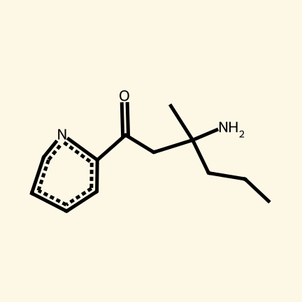 CCCC(C)(N)CC(=O)c1ccccn1